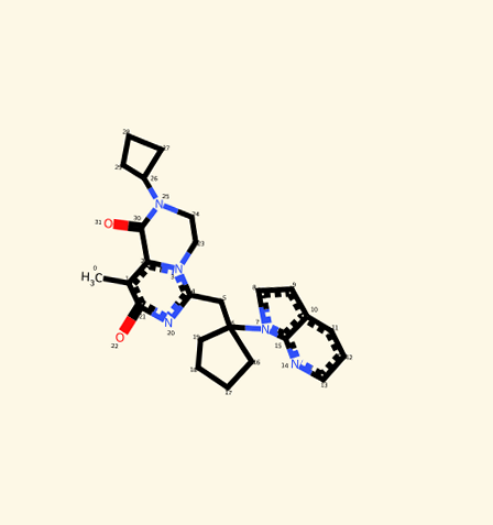 Cc1c2n(c(CC3(n4ccc5cccnc54)CCCC3)nc1=O)CCN(C1CCC1)C2=O